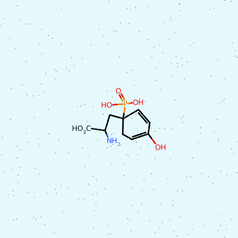 NC(CC1(P(=O)(O)O)C=CC(O)=CC1)C(=O)O